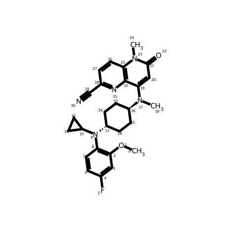 COc1cc(F)ccc1N(C1CC1)[C@H]1CC[C@H](N(C)c2cc(=O)n(C)c3ccc(C#N)nc23)CC1